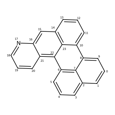 c1cc2cccc3c2c(c1)c1cccc2cc4ncccc4c3c21